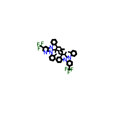 C=CCC1c2ccccc2N2c3cc(C(F)(F)F)cnc3N(c3ccccc3C)C2C1(C)CCC1(C=C)c2ccccc2N2c3cc(C(F)(F)F)ccc3N(c3ccccc3C)C2C1C